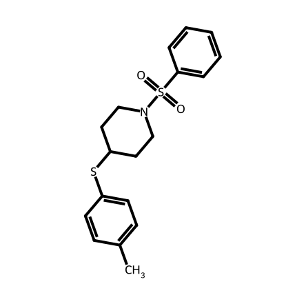 Cc1ccc(SC2CCN(S(=O)(=O)c3ccccc3)CC2)cc1